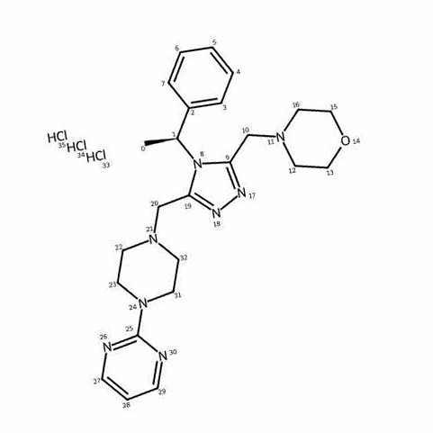 C[C@@H](c1ccccc1)n1c(CN2CCOCC2)nnc1CN1CCN(c2ncccn2)CC1.Cl.Cl.Cl